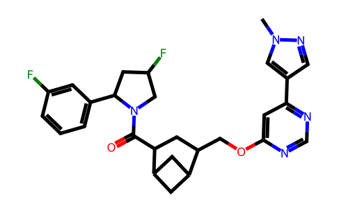 Cn1cc(-c2cc(OCC3CC(C(=O)N4CC(F)CC4c4cccc(F)c4)C4CC3C4)ncn2)cn1